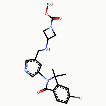 CC(C)(C)OC(=O)N1CC(NCc2cncc(N3C(=O)c4ccc(Cl)cc4C3(C)C)c2)C1